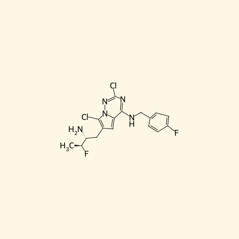 C[C@H](F)[C@H](N)Cc1cc2c(NCc3ccc(F)cc3)nc(Cl)nn2c1Cl